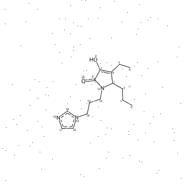 CCCC1C(CC)=C(O)C(=O)N1CCCn1ccnc1